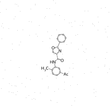 CC(=O)c1ccc(C)c(NC(=O)c2coc(-c3ccccc3)n2)c1